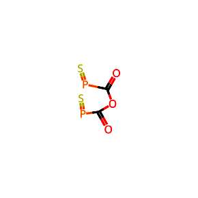 O=C(OC(=O)P=S)P=S